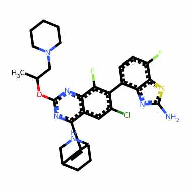 CC(CN1CCCCC1)Oc1nc(C2=CC3CCC2NC3)c2cc(Cl)c(-c3ccc(F)c4sc(N)nc34)c(F)c2n1